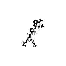 CC(C)Cc1cccc2cc(Cn3cccc(NC(=O)C(CCC=CC(=O)N(C)C)NC(=O)OCCO)c3=O)n(C(=O)OC(C)(C)C)c12